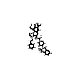 CCc1cc(CC(NC(=O)N2CCC(N3Cc4ccccc4NC3=O)CC2)c2nnnn2CCc2ccccc2)cc2c(C)n[nH]c12